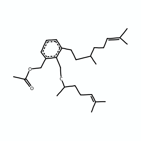 CC(=O)OCc1cccc(CCC(C)CCC=C(C)C)c1CCC(C)CCC=C(C)C